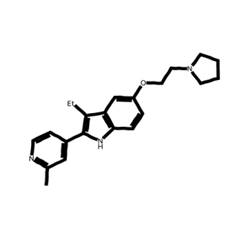 CCc1c(-c2ccnc(C)c2)[nH]c2ccc(OCCN3CCCC3)cc12